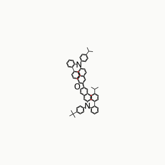 CC(C)c1ccc(-c2ccccc2N(c2ccc(C(C)(C)C)cc2)c2ccc3cc4c(cc3c2)oc2cc3cc(N(c5ccc(C(C)C)cc5)c5ccccc5-c5ccccc5)ccc3cc24)cc1